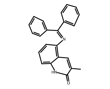 Cc1cc2c(N=C(c3ccccc3)c3ccccc3)cccc2[nH]c1=O